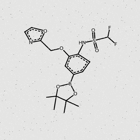 CC1(C)OB(c2ccc(NS(=O)(=O)C(F)F)c(OCc3ncco3)c2)OC1(C)C